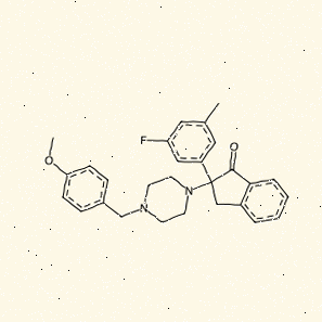 COc1ccc(CN2CCN(C3(c4cc(C)cc(F)c4)Cc4ccccc4C3=O)CC2)cc1